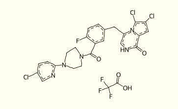 O=C(O)C(F)(F)F.O=C(c1cc(Cc2c[nH]c(=O)c3cc(Cl)c(Cl)n23)ccc1F)N1CCN(c2ccc(Cl)cn2)CC1